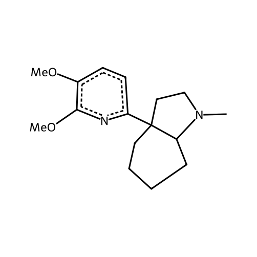 COc1ccc(C23CCCCC2N(C)CC3)nc1OC